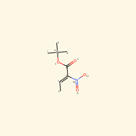 C/C=C(/C(=O)O[Si](C)(C)C)[N+](=O)[O-]